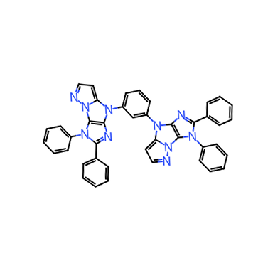 c1ccc(-c2nc3c(n2-c2ccccc2)n2nccc2n3-c2cccc(-n3c4nc(-c5ccccc5)n(-c5ccccc5)c4n4nccc34)c2)cc1